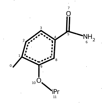 Cc1ccc(C(N)=O)cc1OC(C)C